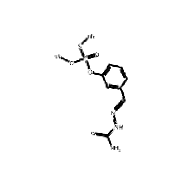 CCCSP(=O)(OCC)Oc1cccc(C=NNC(N)=O)c1